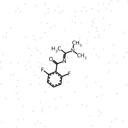 C/C(=N\C(=O)c1c(F)cccc1F)N(C)C